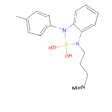 CNCCCN1c2ccccc2N(c2ccc(C)cc2)S1(O)O